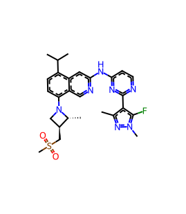 Cc1nn(C)c(F)c1-c1nccc(Nc2cc3c(C(C)C)ccc(N4C[C@H](CS(C)(=O)=O)[C@H]4C)c3cn2)n1